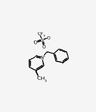 Cc1ccc[n+](Cc2ccccc2)c1.O=S(=O)([O-])C(F)(F)F